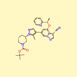 Cc1c(-c2cc(O[C@H](C)c3ccccn3)c3c(C#N)cnn3c2)cnn1[C@@H]1CCCN(C(=O)OC(C)(C)C)C1